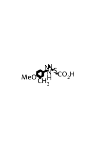 COc1ccc(-c2nnc(SCC(=O)O)[nH]2)cc1C